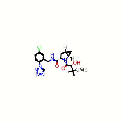 COC(C)(C)[C@@H](O)C(=O)N1[C@H](C(=O)NCc2cc(Cl)ccc2-n2cnnn2)C[C@@H]2C[C@@H]21